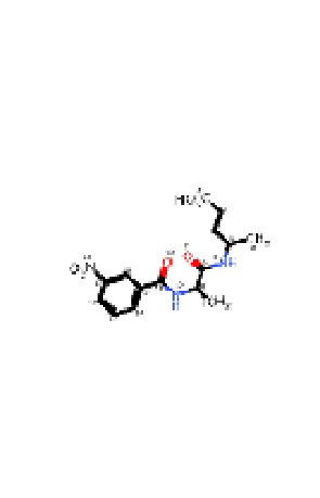 CC(CCC(=O)O)NC(=O)C(C)NC(=O)c1cccc([N+](=O)[O-])c1